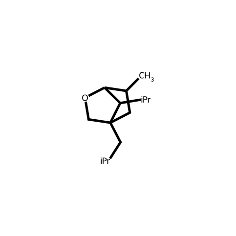 CC(C)CC12COC(C(C)C1)C2C(C)C